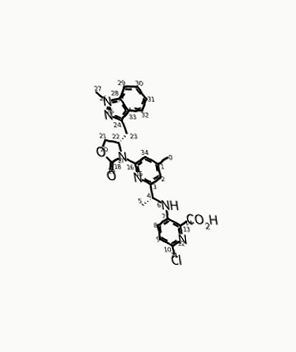 Cc1cc([C@@H](C)Nc2ccc(Cl)nc2C(=O)O)nc(N2C(=O)OC[C@@H]2Cc2nn(C)c3ccccc23)c1